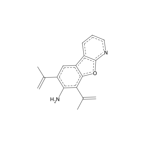 C=C(C)c1cc2c(oc3ncccc32)c(C(=C)C)c1N